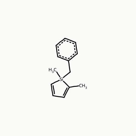 CC1=CC=C[Si]1(C)Cc1ccccc1